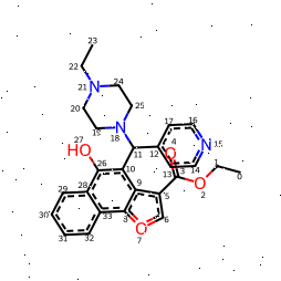 CCOC(=O)c1coc2c1c(C(c1ccncc1)N1CCN(CC)CC1)c(O)c1ccccc12